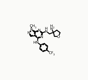 Cn1ncc2c(Nc3ccc(C(F)(F)F)cc3)nc(NCC3(N)CCOC3)nc21